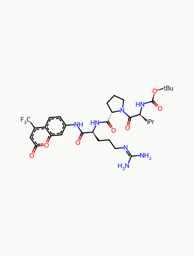 CC(C)[C@H](NC(=O)OC(C)(C)C)C(=O)N1CCC[C@H]1C(=O)N[C@@H](CCCN=C(N)N)C(=O)Nc1ccc2c(C(F)(F)F)cc(=O)oc2c1